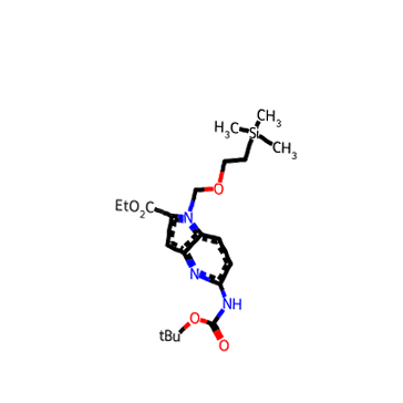 CCOC(=O)c1cc2nc(NC(=O)OC(C)(C)C)ccc2n1COCC[Si](C)(C)C